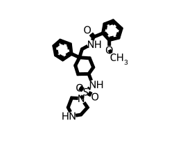 COc1ccccc1C(=O)NCC1(c2ccccc2)CCC(NS(=O)(=O)N2CCNCC2)CC1